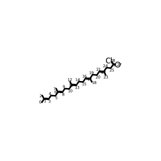 CC(C)=CCC/C(C)=C/CC/C(C)=C/CC/C=C(\C)CC/C=C(\C)CCC(=O)Cl